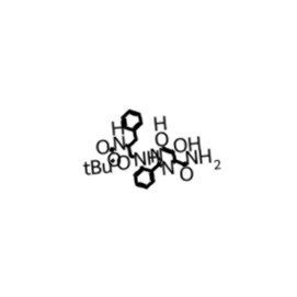 CC(C)(C)OC(=O)NC(Cc1ccccc1)C(=O)Nc1ccccc1-c1nc(O)c(O)c(C(N)=O)n1